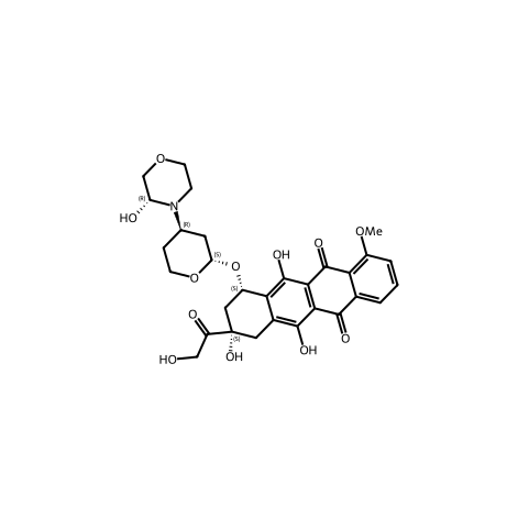 COc1cccc2c1C(=O)c1c(O)c3c(c(O)c1C2=O)C[C@@](O)(C(=O)CO)C[C@@H]3O[C@H]1C[C@H](N2CCOC[C@H]2O)CCO1